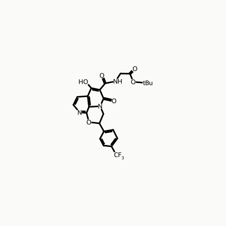 CC(C)(C)OC(=O)CNC(=O)c1c(O)c2ccnc3c2n(c1=O)CC(c1ccc(C(F)(F)F)cc1)O3